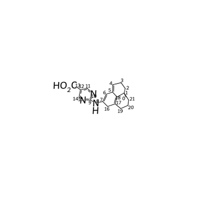 CC12CCC=C3C=C(Nc4ncc(C(=O)O)cn4)CC(=C31)CCC2